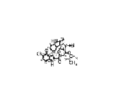 CC(C)C[C@@H](C(=O)N1C[C@]2(C[C@H]1C#N)C(=O)Nc1ccccc12)N(C)C(=O)c1cc2c(Cl)c(Cl)ccc2[nH]1